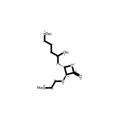 CCCCCCCCCCCCCC(O)C[C@@H]1OC(=O)[C@H]1OCCOC